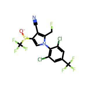 N#Cc1c([S+]([O-])C(F)(F)F)cn(-c2c(Cl)cc(C(F)(F)F)cc2Cl)c1CF